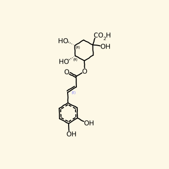 O=C(/C=C/c1ccc(O)c(O)c1)OC1CC(O)(C(=O)O)C[C@@H](O)[C@H]1O